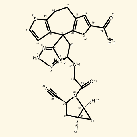 C[C@@H](CC1(c2nn[nH]n2)c2ccsc2CCc2cc(C(N)=O)sc21)NCC(=O)N1[C@H](C#N)C[C@@H]2C[C@@H]21